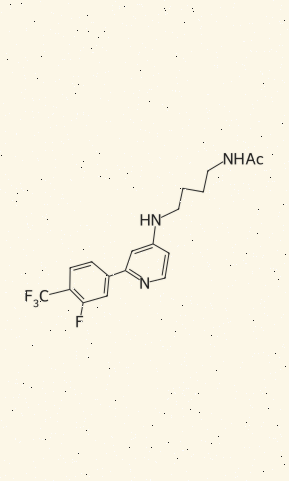 CC(=O)NCCCCNc1ccnc(-c2ccc(C(F)(F)F)c(F)c2)c1